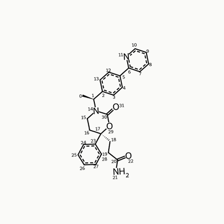 C[C@@H](c1ccc(-c2ccccn2)cc1)N1CC[C@](CCC(N)=O)(c2ccccc2)OC1=O